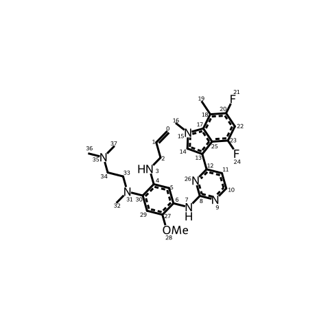 C=CCNc1cc(Nc2nccc(-c3cn(C)c4c(C)c(F)cc(F)c34)n2)c(OC)cc1N(C)CCN(C)C